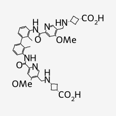 COc1cc(C(=O)Nc2cccc(-c3cccc(NC(=O)c4cc(OC)c(CN[C@H]5C[C@@H](C(=O)O)C5)cn4)c3C)c2C)ncc1CN[C@H]1C[C@@H](C(=O)O)C1